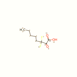 CCCCCC(F)(F)C(=O)C(=O)O